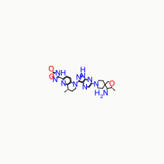 C[C@@H]1CCN(c2n[nH]c3nc(N4CCC5(CC4)CO[C@@H](C)[C@H]5N)cnc23)c2ccc(-c3noc(=O)[nH]3)nc21